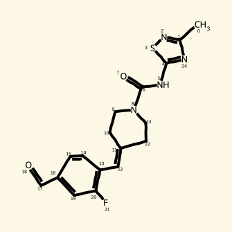 Cc1nsc(NC(=O)N2CCC(=Cc3ccc(C=O)cc3F)CC2)n1